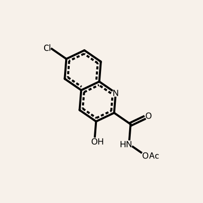 CC(=O)ONC(=O)c1nc2ccc(Cl)cc2cc1O